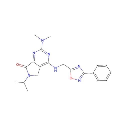 CC(C)N1Cc2c(NCc3nc(-c4ccccc4)no3)nc(N(C)C)nc2C1=O